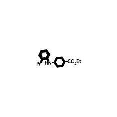 CCOC(=O)[C@H]1CC[C@H](Nc2ccccc2C(C)C)CC1